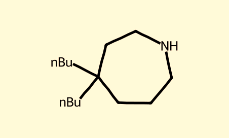 CCCCC1(CCCC)CCCNCC1